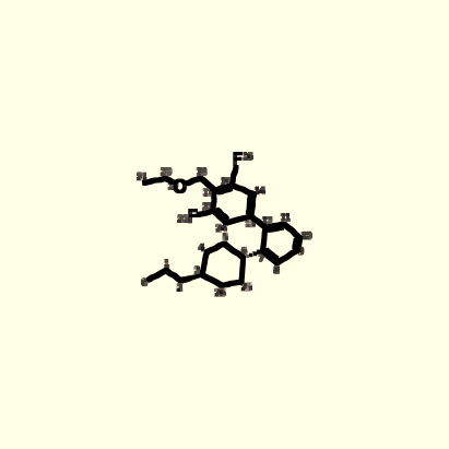 CCC[C@H]1CC[C@H](c2ccccc2-c2cc(F)c(COCC)c(F)c2)CC1